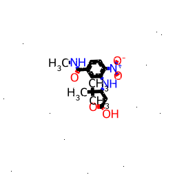 CNC(=O)c1ccc([N+](=O)[O-])c(NC(CC(=O)O)C(C)(C)C)c1